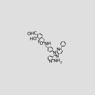 Nc1ncccc1-c1nc2ccc(-c3ccccc3)nc2n1-c1ccc(CNC(=O)Cc2ccc(C=O)c(O)c2F)cc1